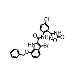 O=C(Nc1ccc(Cl)cc1-c1noc(=O)[nH]1)c1[nH]c2c(OCc3ccccc3)cccc2c1Br